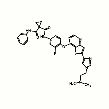 CN(C)CCn1cnc(-c2cc3nccc(Oc4ccc(NC(=O)C5(C(=O)Nc6ccccc6)CC5)cc4F)c3s2)c1